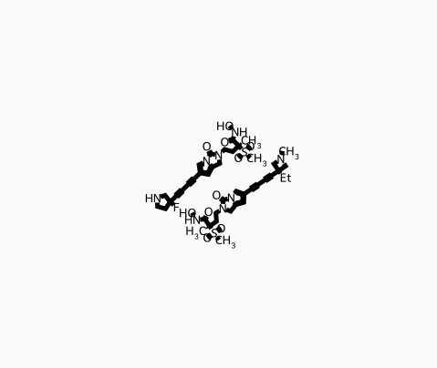 CCC1(C#CC#Cc2cc3n(c2)C(=O)N(CC[C@](C)(C(=O)NO)S(C)(=O)=O)C3)CN(C)C1.C[C@@](CCN1Cc2cc(C#CC#CC3(F)CCNC3)cn2C1=O)(C(=O)NO)S(C)(=O)=O